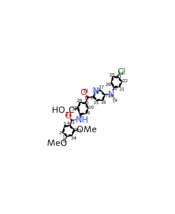 COc1ccc(C(=O)Nc2ccc(C(=O)c3ccc(N(C)c4ccc(Cl)cc4)cn3)cc2C(=O)O)c(OC)c1